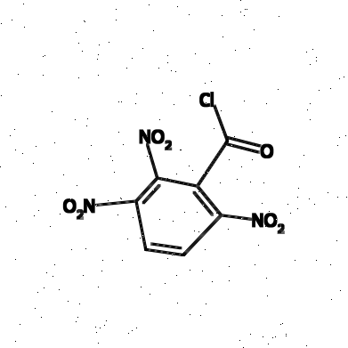 O=C(Cl)c1c([N+](=O)[O-])ccc([N+](=O)[O-])c1[N+](=O)[O-]